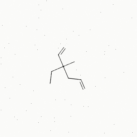 CCC(C)([C]=O)CC=O